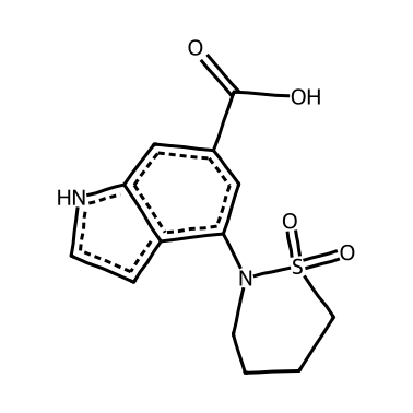 O=C(O)c1cc(N2CCCCS2(=O)=O)c2cc[nH]c2c1